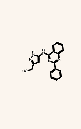 OCc1cc(Nc2nc(-c3ccccc3)nc3ccccc23)[nH]n1